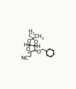 CC1(C)O[C@H]2O[C@H](CC#N)[C@H](OCc3ccccc3)[C@H]2O1